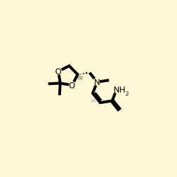 C=C(N)/C=C\N(C)C[C@H]1COC(C)(C)O1